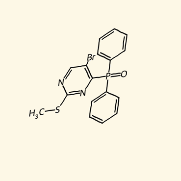 CSc1ncc(Br)c(P(=O)(c2ccccc2)c2ccccc2)n1